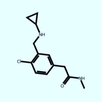 CNC(=O)Cc1ccc(Cl)c(CNC2CC2)c1